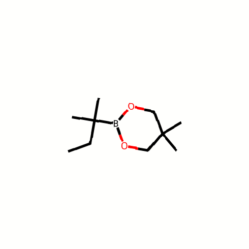 CCC(C)(C)B1OCC(C)(C)CO1